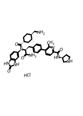 Cc1nc(C(=O)N[C@H]2CCNC2)ccc1-c1ccc(C[C@@H](C(N)=O)N(c2ccc3[nH]c(=O)[nH]c3c2)C(=O)[C@H]2CC[C@H](CN)CC2)cc1.Cl